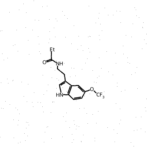 CCC(=O)NCCc1c[nH]c2ccc(OC(F)(F)F)cc12